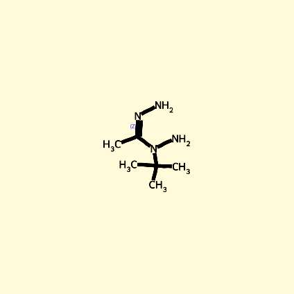 C/C(=N/N)N(N)C(C)(C)C